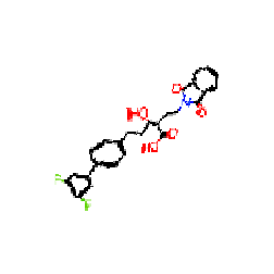 O=C(O)[C@H](CCN1C(=O)c2ccccc2C1=O)[C@H](O)CCc1ccc(-c2cc(F)cc(F)c2)cc1